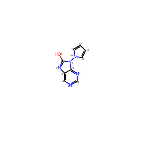 Oc1nc2cncnc2n1-n1cccc1